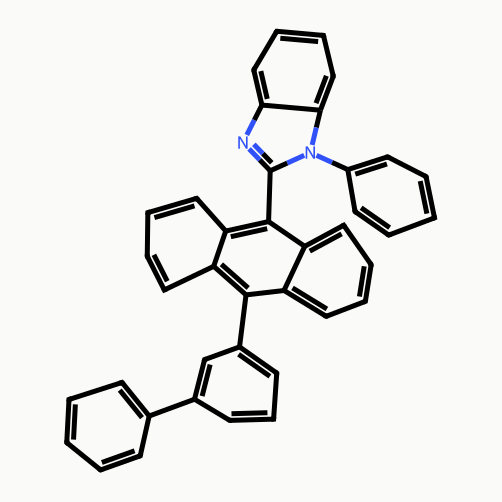 c1ccc(-c2cccc(-c3c4ccccc4c(-c4nc5ccccc5n4-c4ccccc4)c4ccccc34)c2)cc1